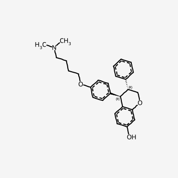 CN(C)CCCCOc1ccc([C@@H]2c3ccc(O)cc3OC[C@H]2c2ccccc2)cc1